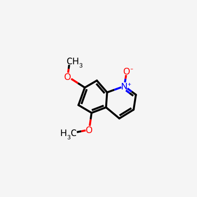 COc1cc(OC)c2ccc[n+]([O-])c2c1